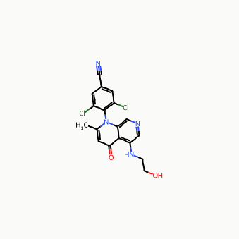 Cc1cc(=O)c2c(NCCO)cncc2n1-c1c(Cl)cc(C#N)cc1Cl